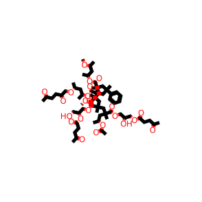 COC(=O)C(C)(CC(C)(CC(C)(CC(C)OC(C)=O)C(=O)OCC(O)COC(=O)CCC(C)=O)C(=O)OCC(CO)OC(=O)CCC(C)=O)CC(C)(CC(C)(CC(C)(C)C(=O)OC(C)CC(C)OCC(=O)CCC(C)=O)c1ccccc1)C(=O)OC(C)CC(C)OC